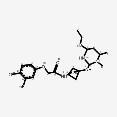 CCOC1CC(C)N(C)C(NC23CC(NC(=O)COc4ccc(Cl)c(F)c4)(C2)C3)N1